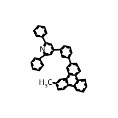 Cc1ccc2c3ccccc3c3ccc(-c4cccc(-c5cc(-c6ccccc6)nc(-c6ccccc6)c5)c4)cc3c2c1